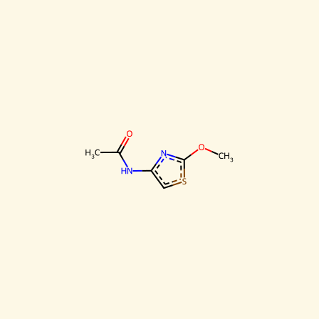 COc1nc(NC(C)=O)cs1